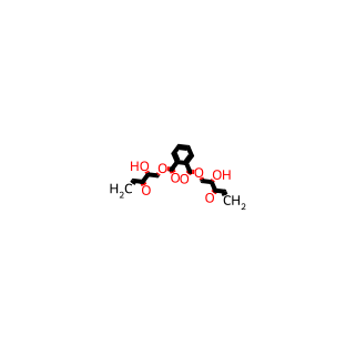 C=CC(=O)C(O)COC(=O)c1ccccc1C(=O)OCC(O)C(=O)C=C